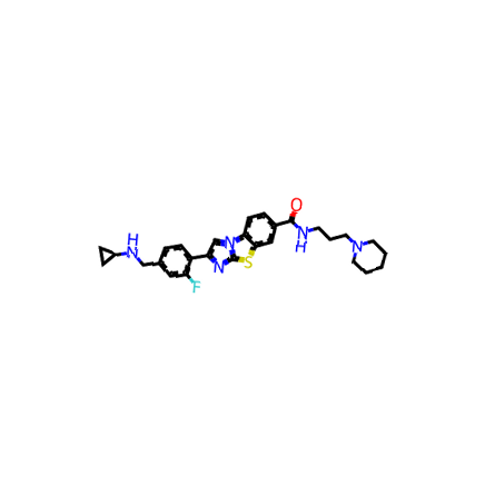 O=C(NCCCN1CCCCC1)c1ccc2c(c1)sc1nc(-c3ccc(CNC4CC4)cc3F)cn12